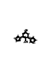 N#CC1=C(n2ccnc2)C=C(Br)CC1n1ccnc1